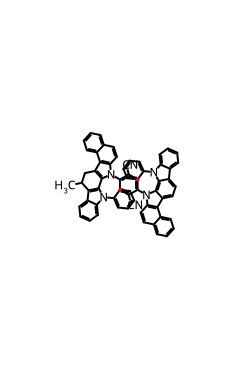 CC1Cc2c(n(-c3cc(C#N)c(-n4c5ccc6ccccc6c5c5ccc6c7ccccc7n(-c7ccccc7)c6c54)cc3C#N)c3ccc4ccccc4c23)-c2c1c1ccccc1n2-c1ccccc1